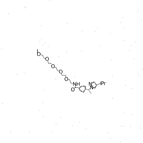 CC(C)c1cnn(C(C)c2ccc(C(=O)NCCOCCOCCOCCOCCOI)cc2)c1